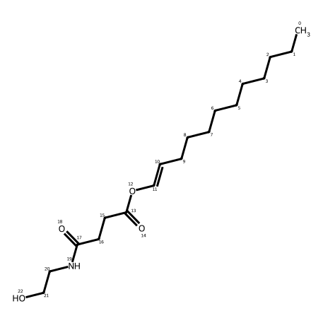 CCCCCCCCCCC=COC(=O)CCC(=O)NCCO